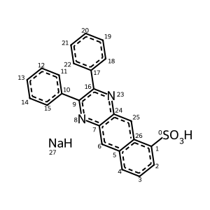 O=S(=O)(O)c1cccc2cc3nc(-c4ccccc4)c(-c4ccccc4)nc3cc12.[NaH]